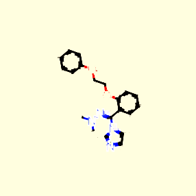 CN(C)/N=C(/c1ccccc1OCCOc1ccccc1)n1ccnc1